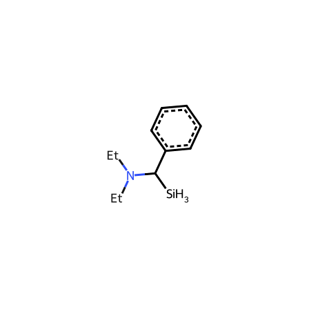 CCN(CC)C([SiH3])c1ccccc1